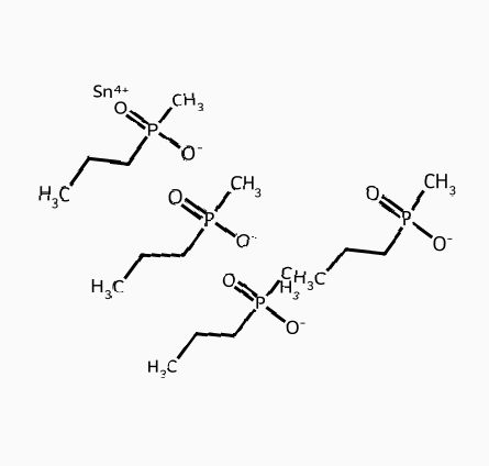 CCCP(C)(=O)[O-].CCCP(C)(=O)[O-].CCCP(C)(=O)[O-].CCCP(C)(=O)[O-].[Sn+4]